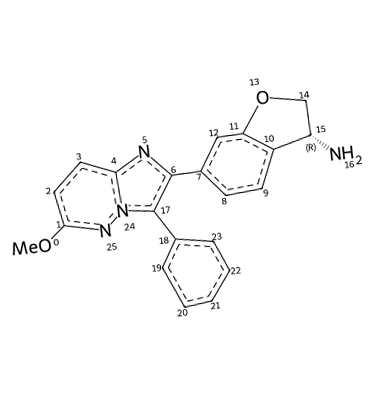 COc1ccc2nc(-c3ccc4c(c3)OC[C@@H]4N)c(-c3ccccc3)n2n1